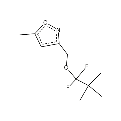 Cc1cc(COC(F)(F)C(C)(C)C)no1